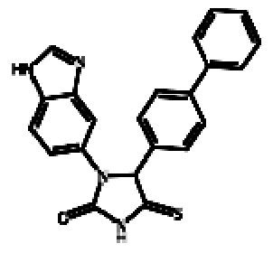 O=C1NC(=S)C(c2ccc(-c3ccccc3)cc2)N1c1ccc2[nH]cnc2c1